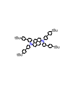 CC(C)(C)c1ccc(-c2ccc(N(c3cccc(-c4ccc(C(C)(C)C)cc4)c3)c3ccc4ccc5c(N(c6ccc(-c7ccc(C(C)(C)C)cc7)cc6)c6cccc(-c7ccc(C(C)(C)C)cc7)c6)ccc6ccc3c4c65)cc2)cc1